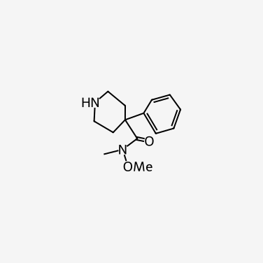 CON(C)C(=O)C1(c2ccccc2)CCNCC1